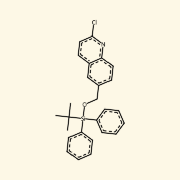 CC(C)(C)[Si](OCc1ccc2nc(Cl)ccc2c1)(c1ccccc1)c1ccccc1